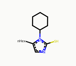 CCCCCCc1cnc(S)n1C1CCCCC1